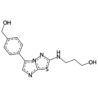 OCCCNc1nn2c(-c3ccc(CO)cc3)cnc2s1